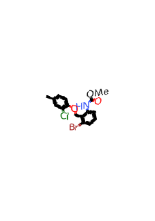 COC(=O)Nc1cccc(Br)c1COc1ccc(C)cc1Cl